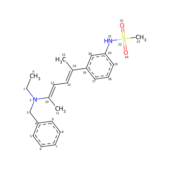 CCN(Cc1ccccc1)/C(C)=C/C=C(\C)c1cccc(NS(C)(=O)=O)c1